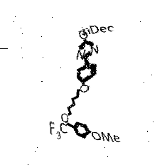 CCCCCCCCCCOc1cnc(-c2ccc(OCCCCCCO[C@H](c3ccc(OC)cc3)C(F)(F)F)cc2)nc1